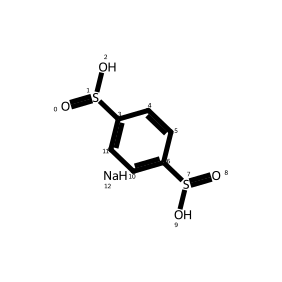 O=S(O)c1ccc(S(=O)O)cc1.[NaH]